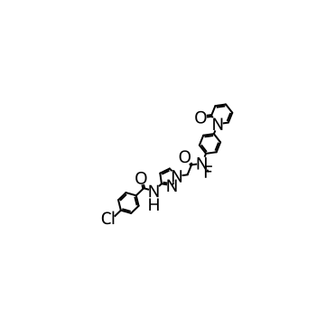 O=C(Nc1ccn(CC(=O)N(F)c2ccc(-n3ccccc3=O)cc2)n1)c1ccc(Cl)cc1